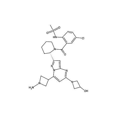 CS(=O)(=O)Nc1ccc(Cl)cc1C(=O)N1CCCC[C@H]1c1cc2nc(N3CC(O)C3)cc(C3CN(N)C3)n2n1